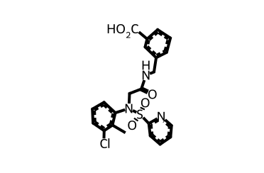 Cc1c(Cl)cccc1N(CC(=O)NCc1cccc(C(=O)O)c1)S(=O)(=O)c1ccccn1